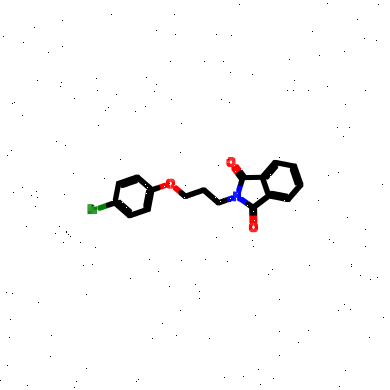 O=C1c2ccccc2C(=O)N1CCCOc1ccc(Br)cc1